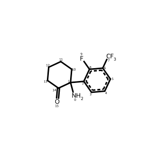 NC1(c2cccc(C(F)(F)F)c2F)CCCCC1=O